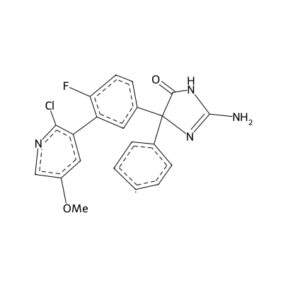 COc1cnc(Cl)c(-c2cc(C3(c4cc[c]cc4)N=C(N)NC3=O)ccc2F)c1